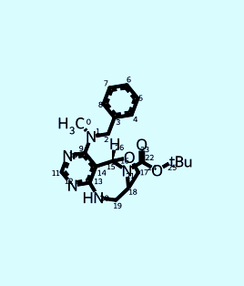 CN(Cc1ccccc1)c1ncnc2c1[C@@H]1OCC(CN2)N1C(=O)OC(C)(C)C